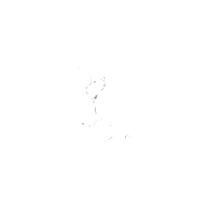 CCCCN(CC(N)=O)c1ccc(C=O)o1